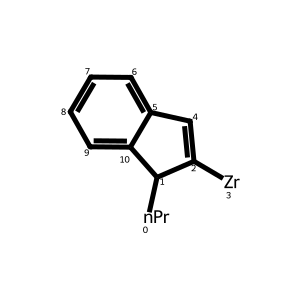 CCCC1[C]([Zr])=Cc2ccccc21